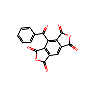 O=C(c1ccccc1)c1c2c(=O)oc(=O)c2cc2c(=O)oc(=O)c12